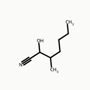 CCCCC(C)C(O)C#N